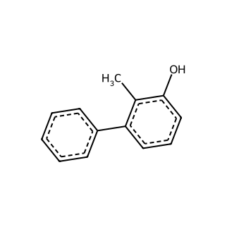 Cc1c(O)cccc1-c1ccccc1